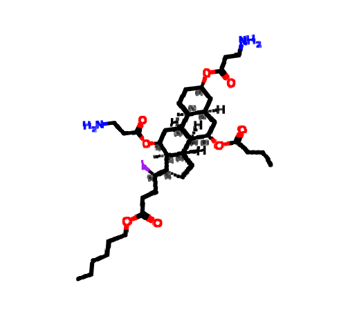 CCCCCCOC(=O)CC[C@@H](I)[C@H]1CC[C@H]2[C@@H]3[C@H](OC(=O)CCC)C[C@@H]4C[C@H](OC(=O)CCN)CC[C@]4(C)[C@H]3C[C@H](OC(=O)CCN)[C@]12C